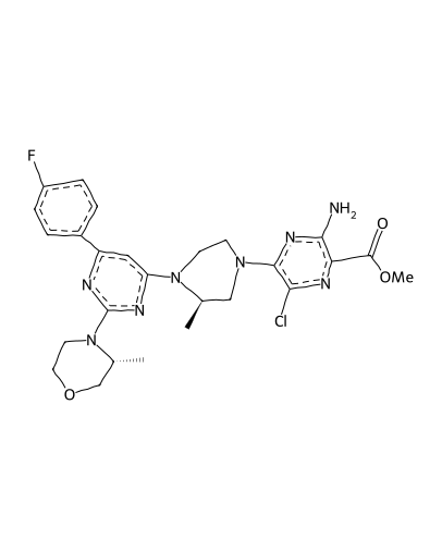 COC(=O)c1nc(Cl)c(N2CCN(c3cc(-c4ccc(F)cc4)nc(N4CCOC[C@H]4C)n3)[C@H](C)C2)nc1N